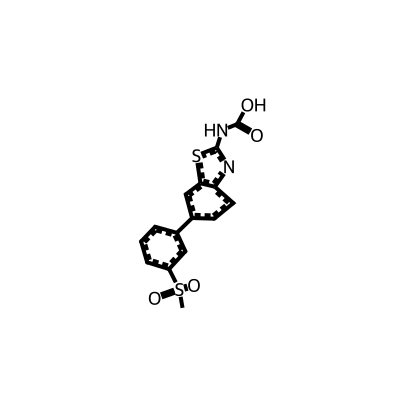 CS(=O)(=O)c1cccc(-c2ccc3nc(NC(=O)O)sc3c2)c1